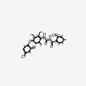 Cc1cc(Oc2ccc(Cl)cc2Br)c(C)c(C)c1NC(=O)NC(=O)c1ccccc1Cl